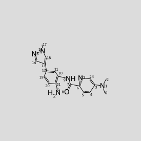 CN(C)c1ccc(C(=O)Nc2cc(-c3cnn(C)c3)ccc2N)nc1